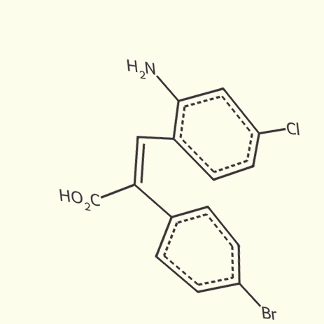 Nc1cc(Cl)ccc1C=C(C(=O)O)c1ccc(Br)cc1